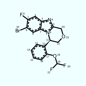 Fc1cc2nc3n(c2cc1Br)[C@H](c1ccccc1OC(F)F)COC3